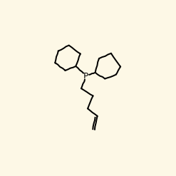 C=CCCCP(C1CCCCC1)C1CCCCC1